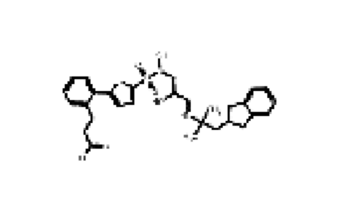 CN(CC(O)CNC(C)(C)CC1Cc2ccccc2C1)S(=O)(=O)c1ccc(-c2ccccc2CCC(=O)O)s1